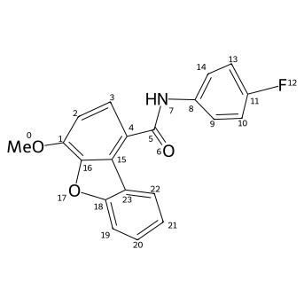 COc1ccc(C(=O)Nc2ccc(F)cc2)c2c1oc1ccccc12